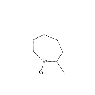 CC1CCCCC[S+]1[O-]